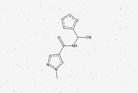 Cn1cc(C(=O)NC(C#N)c2ccco2)cn1